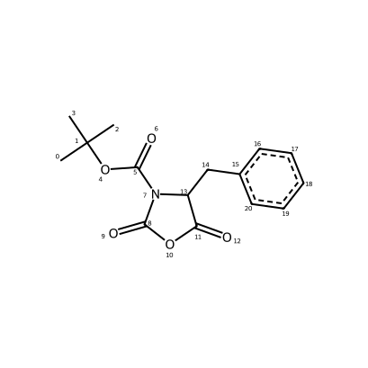 CC(C)(C)OC(=O)N1C(=O)OC(=O)C1Cc1ccccc1